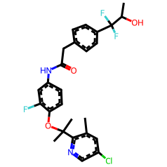 Cc1cc(Cl)cnc1C(C)(C)Oc1ccc(NC(=O)Cc2ccc(C(F)(F)C(C)O)cc2)cc1F